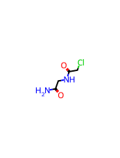 NC(=O)CNC(=O)CCl